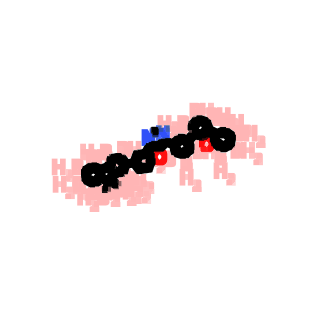 Bc1c(B)c(-c2ncnc3c2oc2ccc(-c4c(B)c(B)c5c(c4B)C(C(B)(B)B)(C(B)(B)B)c4c(B)c(B)c(B)c(B)c4-5)cc23)c(B)c(-c2c(B)c(B)c(B)c3c2oc2c(B)c(B)c(B)c(B)c23)c1B